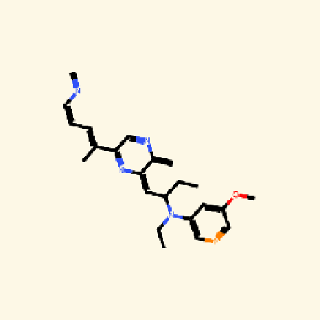 C=N/C=C\C=C(/C)c1cnc(=C)/c(=C\C(CC)N(CC)c2cpcc(OC)c2)n1